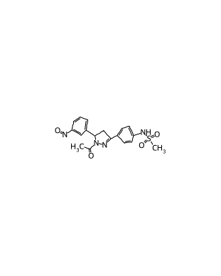 CC(=O)N1N=C(c2ccc(NS(C)(=O)=O)cc2)CC1c1cccc(N=O)c1